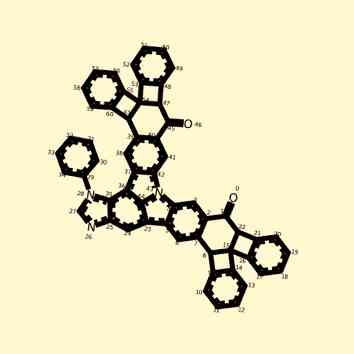 O=C1c2cc3c(cc2C2c4ccccc4C24c2ccccc2C14)c1cc2ncn(-c4ccccc4)c2c2c4cc5c(cc4n3c12)C(=O)C1c2ccccc2C12c1ccccc1C52